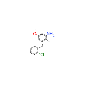 COc1cc(N)c(C)c(Cc2ccccc2Cl)c1